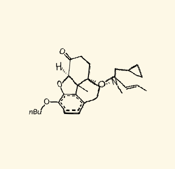 C/C=C/CO[C@@]12CCC(=O)[C@@H]3Oc4c(OCCCC)ccc(c4C31C)C[C@H]2N(C)CC1CC1